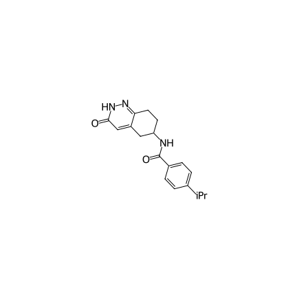 CC(C)c1ccc(C(=O)NC2CCc3n[nH]c(=O)cc3C2)cc1